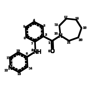 O=C(c1ccccc1Nc1ccncc1)N1CCCCCC1